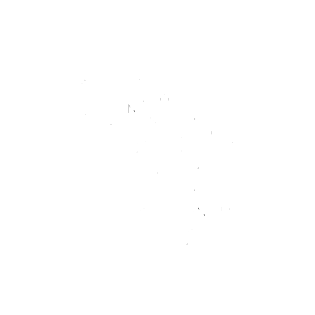 C=CC(c1cc([N+](=O)[O-])c(Cl)s1)S(=O)(=O)N1CCCCC1